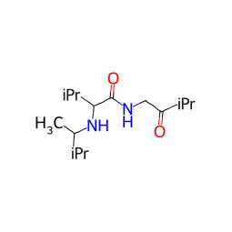 CC(C)C(=O)CNC(=O)C(NC(C)C(C)C)C(C)C